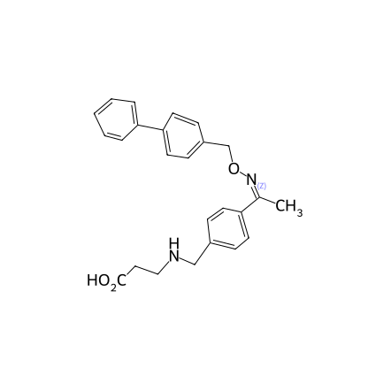 C/C(=N/OCc1ccc(-c2ccccc2)cc1)c1ccc(CNCCC(=O)O)cc1